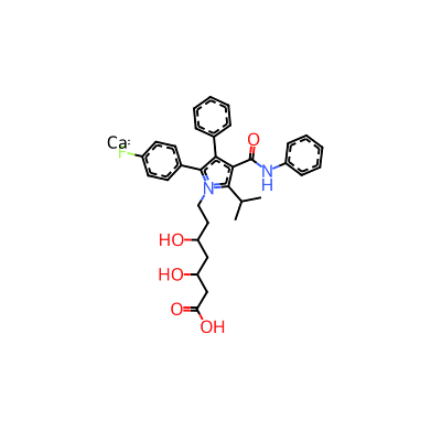 CC(C)c1c(C(=O)Nc2ccccc2)c(-c2ccccc2)c(-c2ccc(F)cc2)n1CCC(O)CC(O)CC(=O)O.[Ca]